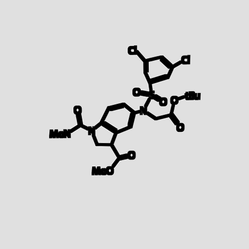 CNC(=O)N1CC(C(=O)OC)c2cc(N(CC(=O)OC(C)(C)C)S(=O)(=O)c3cc(Cl)cc(Cl)c3)ccc21